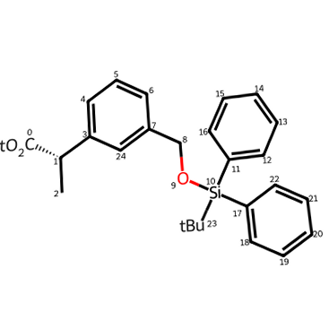 CCOC(=O)[C@@H](C)c1cccc(CO[Si](c2ccccc2)(c2ccccc2)C(C)(C)C)c1